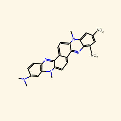 CN(C)c1ccc2c(c1)N(C)c1ccc3c4c(ccc3c1=N2)N(C)c1cc([N+](=O)[O-])cc([N+](=O)[O-])c1N=4